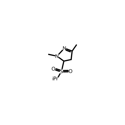 CC1=NN(C)C(S(=O)(=O)C(C)C)C1